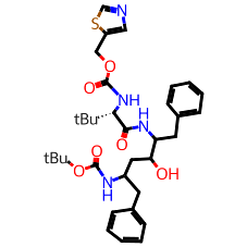 CC(C)(C)OC(=O)NC(Cc1ccccc1)CC(O)C(Cc1ccccc1)NC(=O)[C@@H](NC(=O)OCc1cncs1)C(C)(C)C